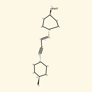 CCCCC[C@H]1CC[C@H](/C=C/C#C[C@H]2CC[C@H](C)CC2)CC1